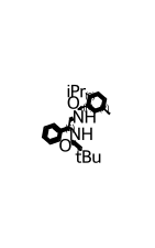 CC(C)[C@@H]1CC[C@@H](C)C[C@H]1C(=O)NC[C@@H](NC(=O)CC(C)(C)C)c1ccccc1